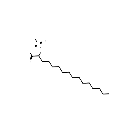 CCCCCCCCCCCCCCC(OS(C)(=O)=O)C(=O)O